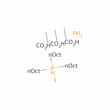 CC(=O)O.CC(=O)O.CC(=O)O.CCCCCCCC[PH](C)(CCCCCCCC)CCCCCCCC.P